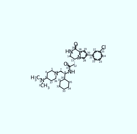 CN(C)C1CCN(C[C@@H](NC(=O)C[C@@H]2CNC(=O)c3cc(-c4cccc(Cl)c4)cn32)C2CCCCC2)CC1